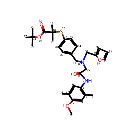 COc1cc(C)c(NC(=O)CN(Cc2ccc(SC(C)(C)C(=O)OC(C)(C)C)cc2)Cc2ccco2)cc1C